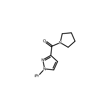 CC(C)n1ccc(C(=O)N2CCCC2)n1